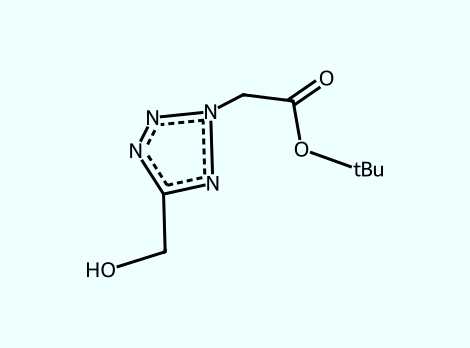 CC(C)(C)OC(=O)Cn1nnc(CO)n1